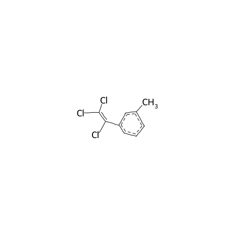 Cc1cccc(C(Cl)=C(Cl)Cl)c1